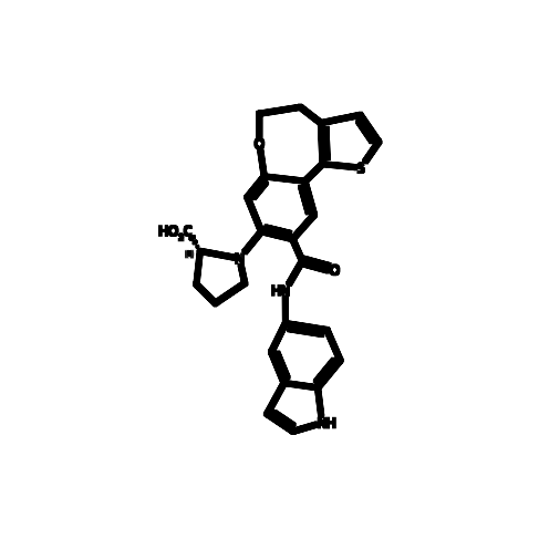 O=C(Nc1ccc2[nH]ccc2c1)c1cc2c(cc1N1CCC[C@@H]1C(=O)O)OCCc1ccsc1-2